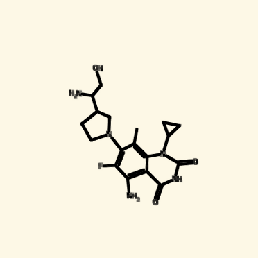 Cc1c(N2CCC(C(N)CO)C2)c(F)c(N)c2c(=O)[nH]c(=O)n(C3CC3)c12